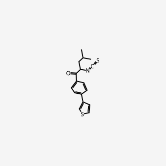 CC(C)CC(N=C=S)C(=O)c1ccc(-c2ccsc2)cc1